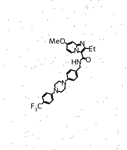 CCc1nc2cc(OC)ccn2c1C(=O)NCc1ccc(N2CCN(c3ccc(C(F)(F)F)cc3)CC2)cc1